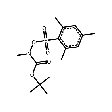 Cc1cc(C)c(S(=O)(=O)ON(C)C(=O)OC(C)(C)C)c(C)c1